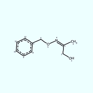 CC(CO)=NOCc1ccccc1